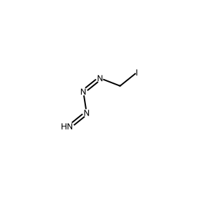 N=N/N=N\CI